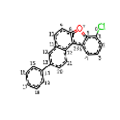 Clc1cccc2c1oc1ccc3cc(-c4ccccc4)ccc3c12